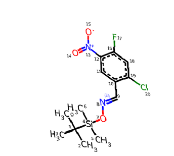 CC(C)(C)[Si](C)(C)O/N=C/c1cc([N+](=O)[O-])c(F)cc1Cl